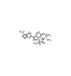 Cc1nnc2cc(-n3ncc4cc(O[C@H](C)[C@H](C)NC(=O)C(C)(F)F)ccc43)ccn12